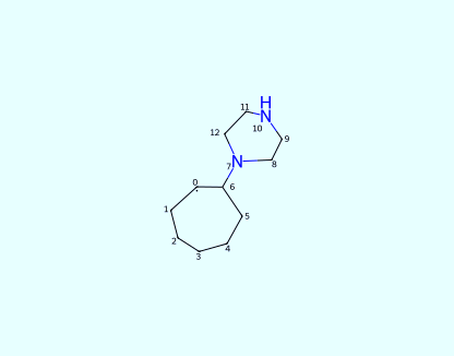 [CH]1CCCCCC1N1CCNCC1